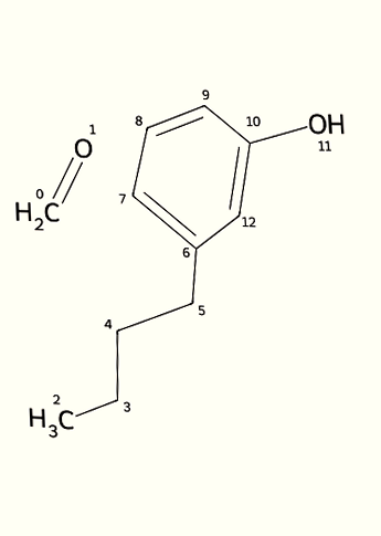 C=O.CCCCc1cccc(O)c1